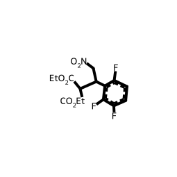 CCOC(=O)C(C(=O)OCC)C(C[N+](=O)[O-])c1c(F)ccc(F)c1F